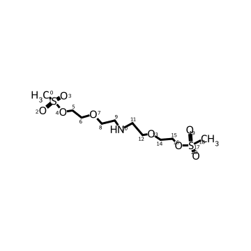 CS(=O)(=O)OCCOCCNCCOCCOS(C)(=O)=O